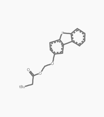 CC(C)(C)CC(=O)OCOc1ccc2c(c1)-c1ccccc1[I+]2